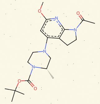 COc1cc(N2CCN(C(=O)OC(C)(C)C)[C@@H](C)C2)c2c(n1)N(C(C)=O)CC2